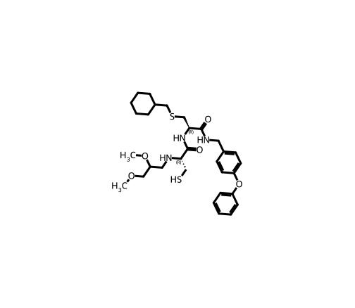 COCC(CN[C@@H](CS)C(=O)N[C@@H](CSCC1CCCCC1)C(=O)NCc1ccc(Oc2ccccc2)cc1)OC